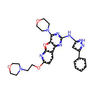 c1ccc(-c2cc(Nc3nc(N4CCOCC4)c4oc5nc(OCCN6CCOCC6)ccc5c4n3)[nH]n2)cc1